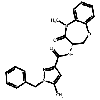 Cc1cc(C(=O)N[C@H]2COc3ccccc3N(C)C2=O)nn1Cc1ccccc1